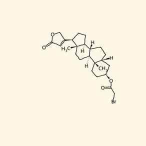 C[C@]12CC[C@H](OC(=O)CBr)C[C@H]1CC[C@@H]1[C@@H]2CC[C@]2(C)[C@@H](C3=CC(=O)OC3)CC[C@@H]12